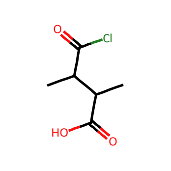 CC(C(=O)O)C(C)C(=O)Cl